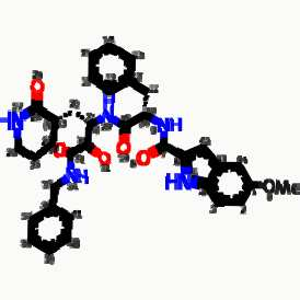 COc1ccc2[nH]c(C(=O)N[C@@H](Cc3ccccc3)C(=O)N[C@@H](C[C@@H]3CCCNC3=O)C(=O)C(=O)NCc3ccccc3)cc2c1